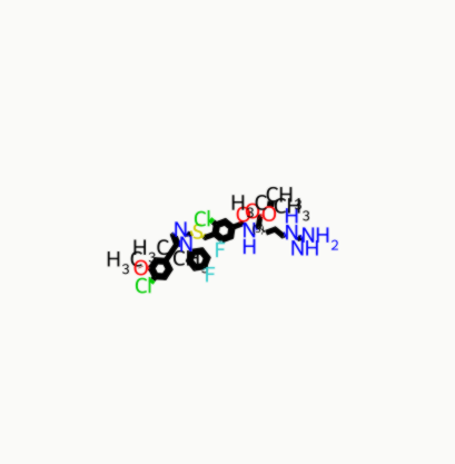 COc1cc(C(C)(C)c2cnc(SCc3c(F)cc(C(=O)N[C@@H](CCCNC(=N)N)C(=O)OC(C)(C)C)cc3Cl)n2-c2ccc(F)cc2)ccc1Cl